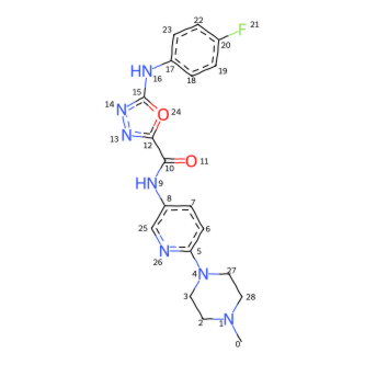 CN1CCN(c2ccc(NC(=O)c3nnc(Nc4ccc(F)cc4)o3)cn2)CC1